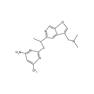 CC(Sc1nc(N)cc(C(F)(F)F)n1)c1cc2c(CN(C)C)coc2cn1